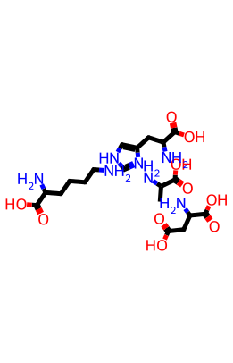 CC(N)C(=O)O.NC(CC(=O)O)C(=O)O.NC(Cc1c[nH]cn1)C(=O)O.NCCCCC(N)C(=O)O